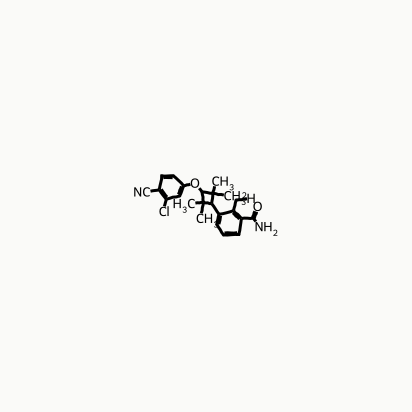 [2H]Cc1c(C(N)=O)cccc1C1C(C)(C)C(Oc2ccc(C#N)c(Cl)c2)C1(C)C